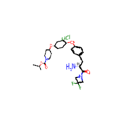 CC(C)OC(=O)N1CCC(O[C@H]2CC[C@H](Oc3ccc(C[C@@H](N)C(=O)N4CC(F)(F)C4)cc3)CC2)CC1.Cl